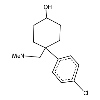 CNCC1(c2ccc(Cl)cc2)CCC(O)CC1